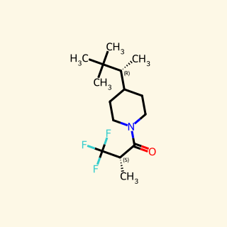 C[C@H](C1CCN(C(=O)[C@H](C)C(F)(F)F)CC1)C(C)(C)C